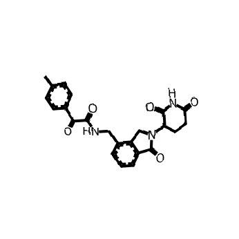 Cc1ccc(C(=O)C(=O)NCc2cccc3c2CN(C2CCC(=O)NC2=O)C3=O)cc1